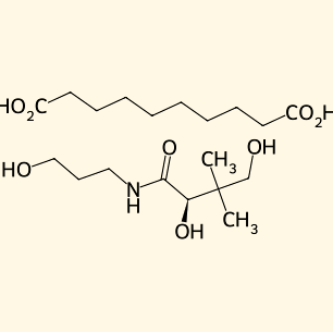 CC(C)(CO)[C@@H](O)C(=O)NCCCO.O=C(O)CCCCCCCCC(=O)O